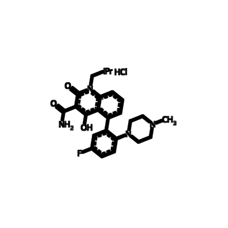 CC(C)Cn1c(=O)c(C(N)=O)c(O)c2c(-c3cc(F)ccc3N3CCN(C)CC3)cccc21.Cl